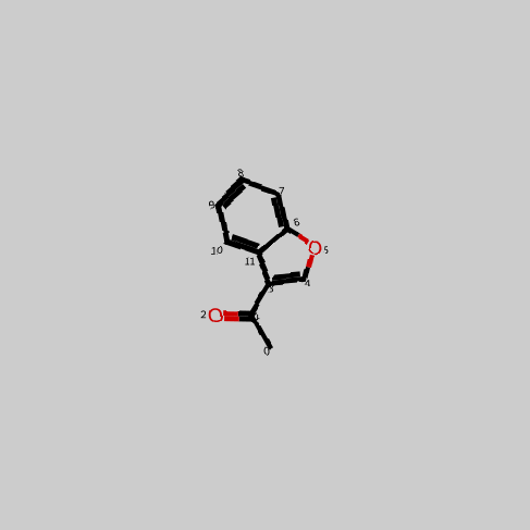 CC(=O)c1coc2cc[c]cc12